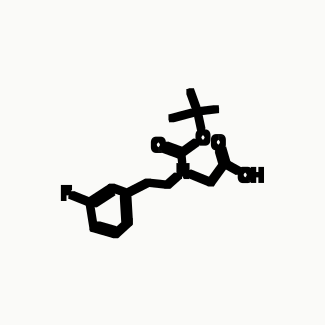 CC(C)(C)OC(=O)N(CCc1cccc(F)c1)CC(=O)O